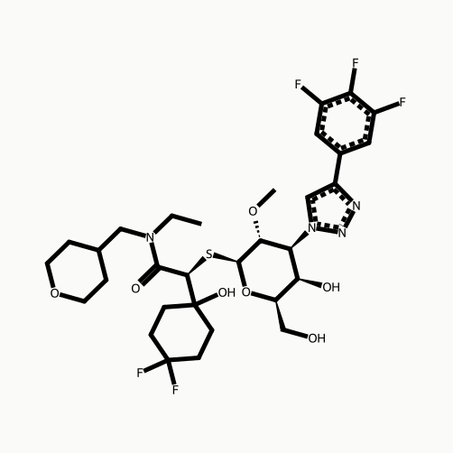 CCN(CC1CCOCC1)C(=O)[C@@H](S[C@@H]1O[C@H](CO)[C@H](O)[C@H](n2cc(-c3cc(F)c(F)c(F)c3)nn2)[C@H]1OC)C1(O)CCC(F)(F)CC1